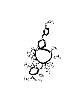 COc1cccc(CN2CCC3(CC2)CN(C)C[C@H](C)C[C@@](C)(OC)[C@H](O[C@@H]2O[C@H](C)C[C@H](N(C)C)[C@H]2O)[C@@H](C)C(=O)C(C)(C)C(=O)O3)c1